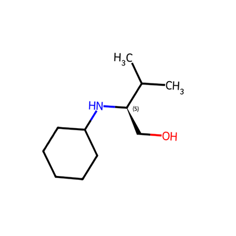 CC(C)[C@@H](CO)NC1CCCCC1